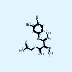 N=C(SCC(=O)O)C(=N\O)/C(=N/O)Nc1ccc(F)c(Br)c1